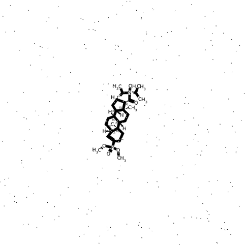 COP(=O)(OC)C1=C[C@@H]2CC[C@@H]3[C@H](CC[C@]4(C)[C@@H](C(=O)[N+](O)(C(C)C)C(C)C)CC[C@@H]34)[C@@]2(C)CC1